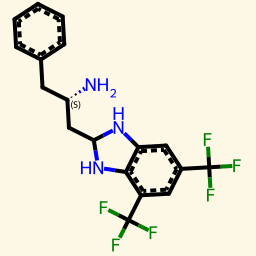 N[C@@H](Cc1ccccc1)CC1Nc2cc(C(F)(F)F)cc(C(F)(F)F)c2N1